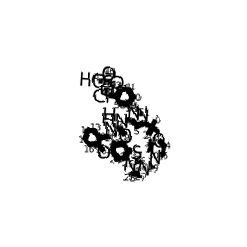 CC(C)(C)c1cc(NC(=O)NCc2ccccc2Oc2ccc3c(c2)N2C=CN(CN4CCOCC4)C2S3)n(-c2ccc(OS(=O)(=O)O)c(Cl)c2)n1